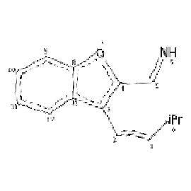 CC(C)/C=C\c1c(C=N)oc2ccccc12